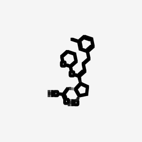 Cc1cccc(CCC=C(OC2CCCCO2)[C@H]2CC[C@H](O)[C@@H]2CC(=O)O)c1